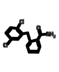 NC(=O)c1ccccc1Cc1cc(Cl)ccc1Cl